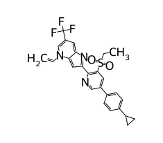 C=Cn1cc(C(F)(F)F)cc2nc(-c3ncc(-c4ccc(C5CC5)cc4)cc3S(=O)(=O)CC)cc1-2